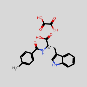 Cc1ccc(C(=O)N[C@@H](Cc2c[nH]c3ccccc23)C(=O)O)cc1.O=C(O)C(=O)O